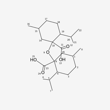 CC1CCC(C(C)C)C(OC2(C(=O)O)CC(C)CCC2C(C)C)(C(=O)O)C1